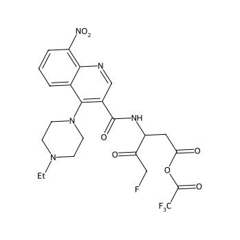 CCN1CCN(c2c(C(=O)NC(CC(=O)OC(=O)C(F)(F)F)C(=O)CF)cnc3c([N+](=O)[O-])cccc23)CC1